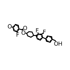 COc1ccc(C(=O)OC2CCC(c3ccc(-c4ccc(CO)cc4)c(F)c3F)CC2)c(F)c1